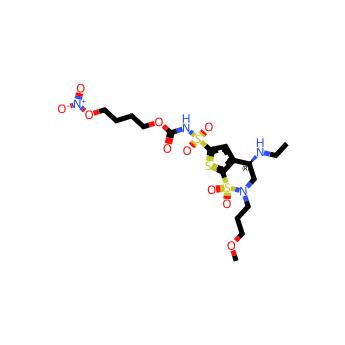 CCN[C@H]1CN(CCCOC)S(=O)(=O)c2sc(S(=O)(=O)NC(=O)OCCCCO[N+](=O)[O-])cc21